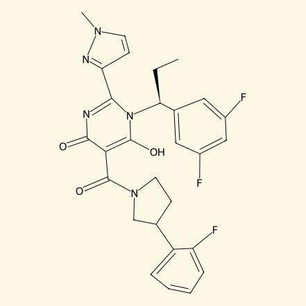 CC[C@@H](c1cc(F)cc(F)c1)n1c(-c2ccn(C)n2)nc(=O)c(C(=O)N2CCC(c3ccccc3F)C2)c1O